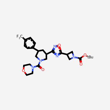 CC(C)(C)OC(=O)N1CC(c2nc(C3CC(c4ccc(C(F)(F)F)cc4)CN(C(=O)N4CCOCC4)C3)no2)C1